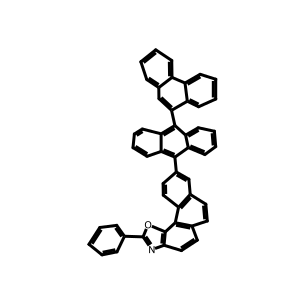 c1ccc(-c2nc3ccc4ccc5cc(-c6c7ccccc7c(-c7cc8ccccc8c8ccccc78)c7ccccc67)ccc5c4c3o2)cc1